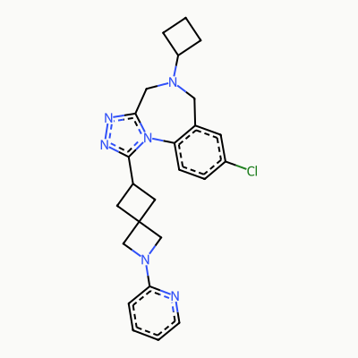 Clc1ccc2c(c1)CN(C1CCC1)Cc1nnc(C3CC4(C3)CN(c3ccccn3)C4)n1-2